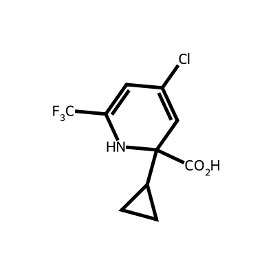 O=C(O)C1(C2CC2)C=C(Cl)C=C(C(F)(F)F)N1